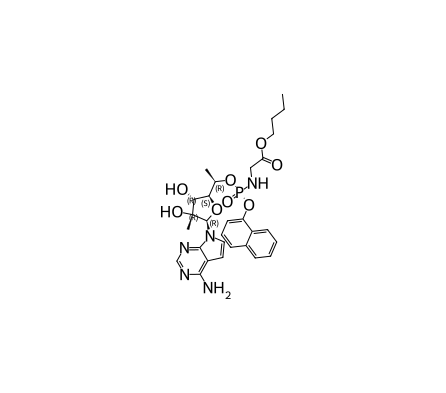 CCCCOC(=O)CNP(=O)(Oc1cccc2ccccc12)O[C@H](C)[C@H]1O[C@@H](n2ccc3c(N)ncnc32)[C@](C)(O)[C@@H]1O